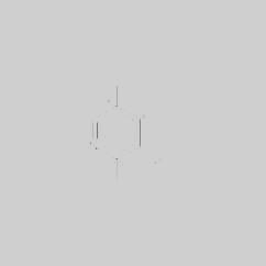 CCc1ncc(F)cc1C(F)(F)F